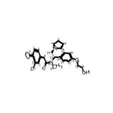 CN(C(=O)Cc1ccc(Cl)c(Cl)c1)[C@H](CN1CCCC1)c1ccc(OCCO)cc1